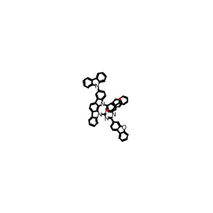 c1ccc(-c2cccc(-n3c4ccc(-n5c6ccccc6c6ccccc65)cc4c4ccc5c6ccccc6n(-c6nc(-c7ccccc7)nc(-c7ccc8c(c7)oc7ccccc78)n6)c5c43)c2)cc1